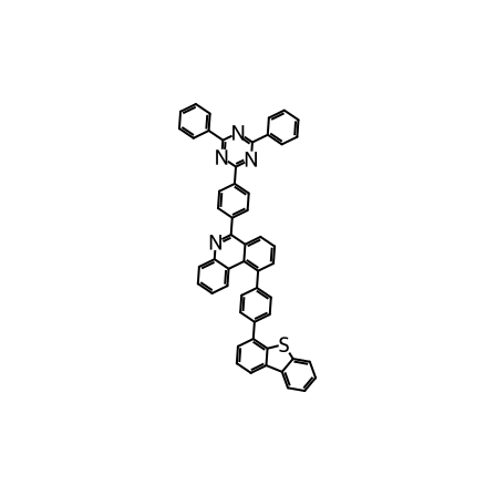 c1ccc(-c2nc(-c3ccccc3)nc(-c3ccc(-c4nc5ccccc5c5c(-c6ccc(-c7cccc8c7sc7ccccc78)cc6)cccc45)cc3)n2)cc1